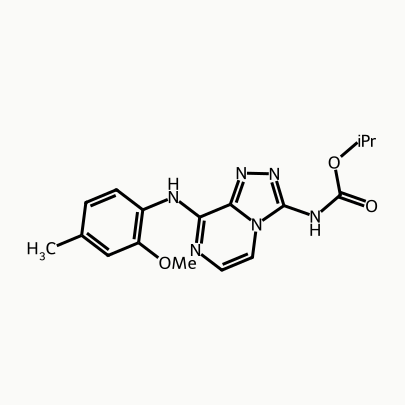 COc1cc(C)ccc1Nc1nccn2c(NC(=O)OC(C)C)nnc12